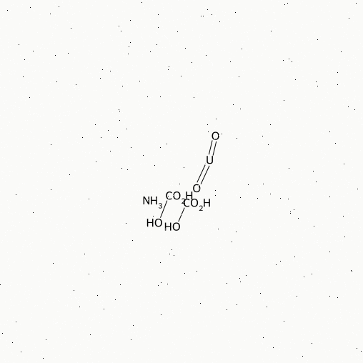 N.O=C(O)O.O=C(O)O.[O]=[U]=[O]